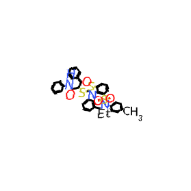 CCC(c1ccccc1)N(c1ccc(C)cc1)S(=O)(=O)c1cccc2sc(SC(C(=O)Nc3ccccc3)C(=O)c3ccccc3)nc12